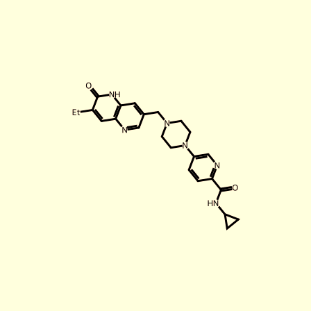 CCc1cc2ncc(CN3CCN(c4ccc(C(=O)NC5CC5)nc4)CC3)cc2[nH]c1=O